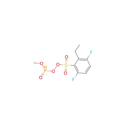 CCc1c(F)ccc(F)c1S(=O)(=O)OO[PH](=O)OC